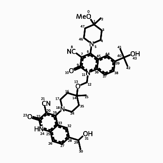 COC1(C)CCN(c2c(C#N)c(=O)n(COC3(C)CCN(c4c(C#N)c(=O)[nH]c5ccc(C(C)O)cc45)CC3)c3ccc(C(C)(C)O)cc23)CC1